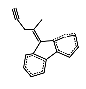 C#CCC(C)=C1c2ccccc2-c2ccccc21